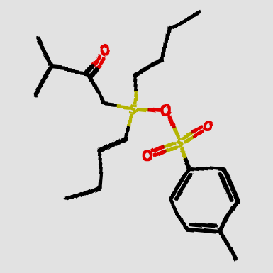 CCCCS(CCCC)(CC(=O)C(C)C)OS(=O)(=O)c1ccc(C)cc1